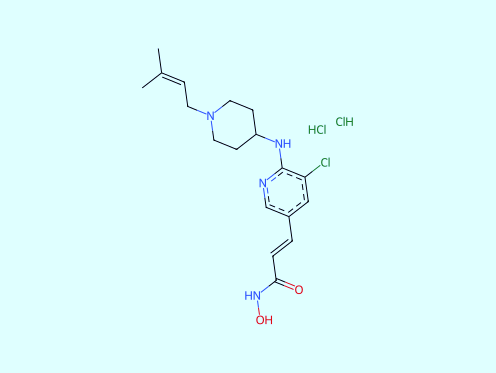 CC(C)=CCN1CCC(Nc2ncc(C=CC(=O)NO)cc2Cl)CC1.Cl.Cl